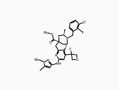 Cc1cc(Nc2cc(C3(F)COC3)c(F)c(CC3(C(=O)OC(C)(C)C)CCN(Cc4cccc(Cl)c4F)[C@H](C)C3)n2)nn1C(C)(C)C